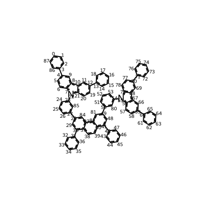 c1ccc(-c2ccc3c(c2)c2cc(-c4ccccc4)ccc2n3-c2cccc(-c3cc(-c4ccccc4)c4ccc5c(-c6ccccc6)cc(-c6cccc(-n7c8ccc(-c9ccccc9)cc8c8cc(-c9ccccc9)ccc87)c6)cc5c4c3)c2)cc1